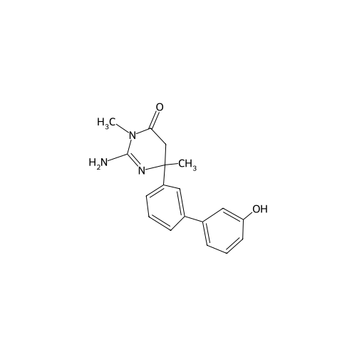 CN1C(=O)CC(C)(c2cccc(-c3cccc(O)c3)c2)N=C1N